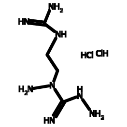 Cl.Cl.N=C(N)NCCN(N)C(=N)NN